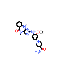 CCOc1cc(N2CCC(C(N)=O)CC2)ccc1Nc1ncc2c(n1)N(C)c1ccccc1C(=O)N2C